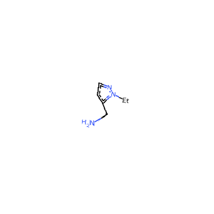 CCn1nccc1CN